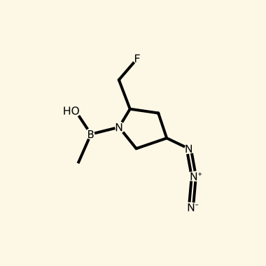 CB(O)N1CC(N=[N+]=[N-])CC1CF